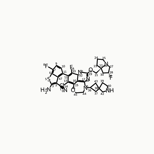 N#Cc1c(N)sc2c(F)ccc(-c3c(Cl)c4c5c(nc(OC[C@@]67CCCN6C[C@H](F)C7)nc5c3F)N(C3CC5(CCNC5)C3)CCO4)c12